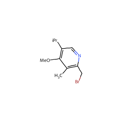 COc1c(C(C)C)cnc(CBr)c1C